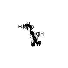 CC(N)C(=O)NC(C)C(=O)NCCc1ccc(NC(=O)c2ccc(CN(Cc3ccccn3)Cc3ccccn3)nc2)cc1.Cl